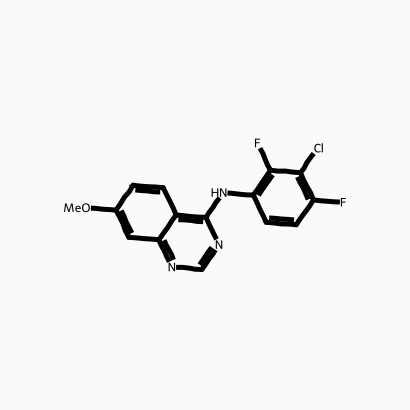 COc1[c]cc2c(Nc3ccc(F)c(Cl)c3F)ncnc2c1